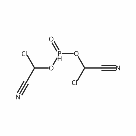 N#CC(Cl)O[PH](=O)OC(Cl)C#N